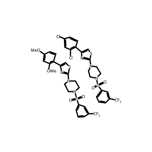 COc1ccc(-c2csc(N3CCN(S(=O)(=O)c4cccc(C(F)(F)F)c4)CC3)n2)c(OC)c1.O=S(=O)(c1cccc(C(F)(F)F)c1)N1CCN(c2nc(-c3ccc(Cl)cc3Cl)cs2)CC1